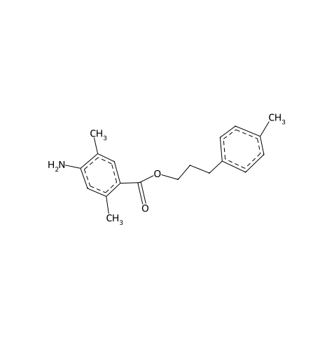 Cc1ccc(CCCOC(=O)c2cc(C)c(N)cc2C)cc1